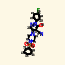 N#Cc1c(N2CCN(S(=O)(=O)c3ccccc3)CC2)cnn(-c2ccc(F)cc2)c1=O